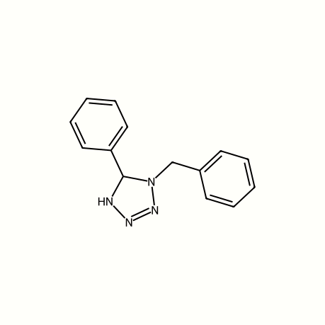 c1ccc(CN2N=NNC2c2ccccc2)cc1